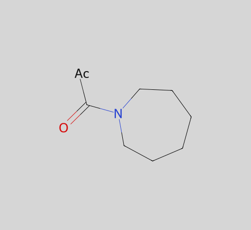 CC(=O)C(=O)N1CCCCCC1